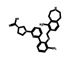 Cc1cccc(-c2cccc(N3CC[C@@H](C(=O)O)C3)n2)c1OCc1ccc2c(c1C)CCNCC2